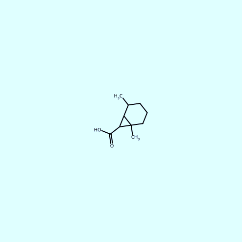 CC1CCCC2(C)C(C(=O)O)C12